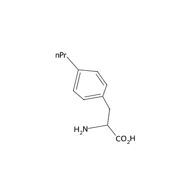 CCCc1ccc(CC(N)C(=O)O)cc1